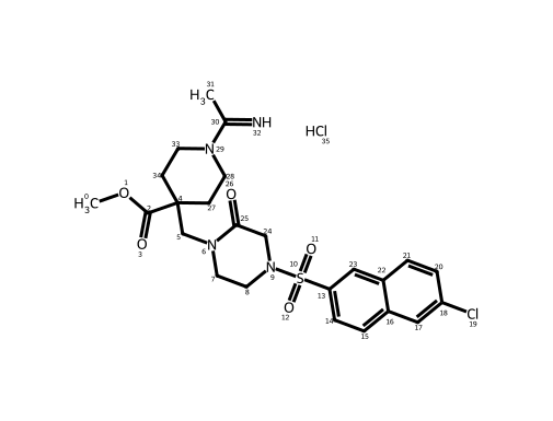 COC(=O)C1(CN2CCN(S(=O)(=O)c3ccc4cc(Cl)ccc4c3)CC2=O)CCN(C(C)=N)CC1.Cl